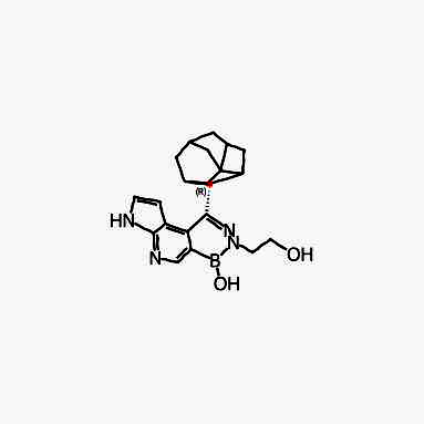 OCCN1N=C([C@@H]2C3CC4CC5CC2C5(C4)C3)c2c(cnc3[nH]ccc23)B1O